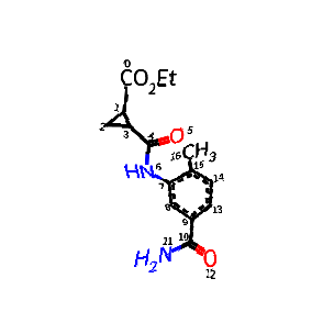 CCOC(=O)C1CC1C(=O)Nc1cc(C(N)=O)ccc1C